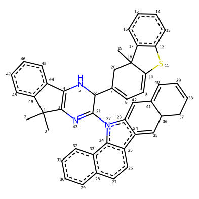 CC1(C)C2=C(NC(C3=CC=C4Sc5ccccc5C4(C)C3)C(n3c4c(c5ccc6ccccc6c53)=CC3CC=CC=C3C=4)=N2)c2ccccc21